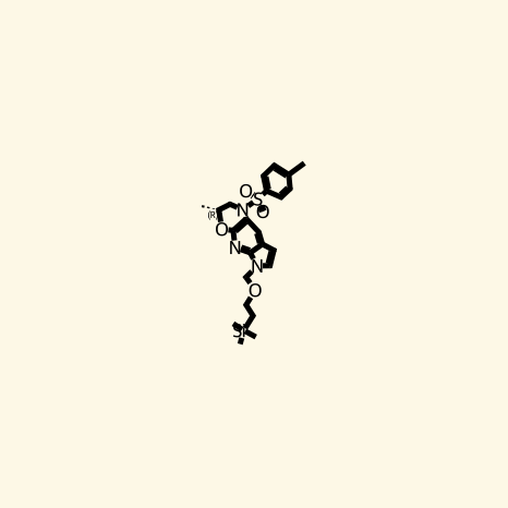 Cc1ccc(S(=O)(=O)N2C[C@@H](C)Oc3nc4c(ccn4COCC[Si](C)(C)C)cc32)cc1